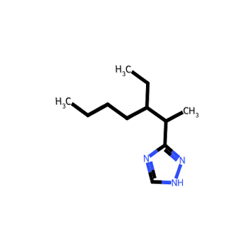 CCCCC(CC)C(C)c1nc[nH]n1